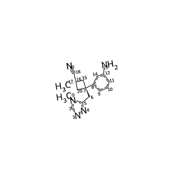 Cn1cnnc1C[C@]1(c2cccc(N)c2)C[C@](C)(C#N)C1